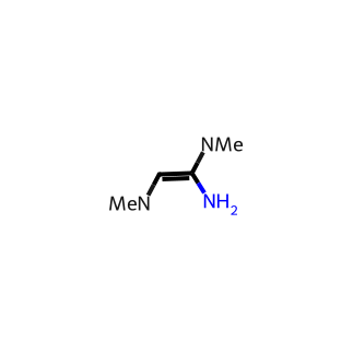 CNC=C(N)NC